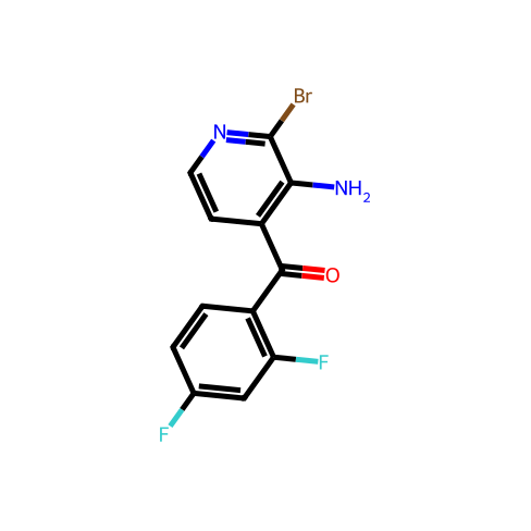 Nc1c(C(=O)c2ccc(F)cc2F)ccnc1Br